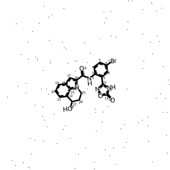 O=C(Nc1ccc(Br)cc1-c1noc(=O)[nH]1)c1cc2cccc3c2n1CCC3O